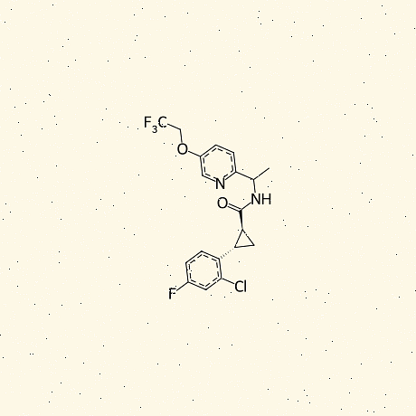 CC(NC(=O)[C@H]1C[C@@H]1c1ccc(F)cc1Cl)c1ccc(OCC(F)(F)F)cn1